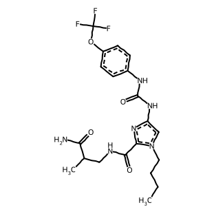 CCCCn1cc(NC(=O)Nc2ccc(OC(F)(F)F)cc2)nc1C(=O)NCC(C)C(N)=O